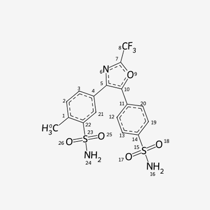 Cc1ccc(-c2nc(C(F)(F)F)oc2-c2ccc(S(N)(=O)=O)cc2)cc1S(N)(=O)=O